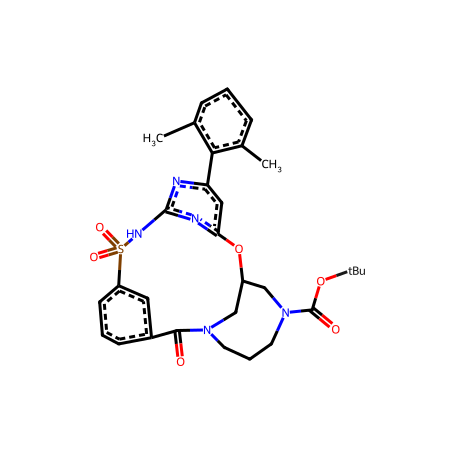 Cc1cccc(C)c1-c1cc2nc(n1)NS(=O)(=O)c1cccc(c1)C(=O)N1CCCN(C(=O)OC(C)(C)C)CC(C1)O2